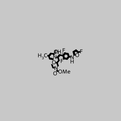 C=C1C=C(C)C=CN1/C(CC1CN(C(=O)OC)CCO1)=C(/c1c(F)cc(Nc2ccc(F)o2)cc1F)C(C)C